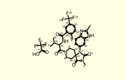 Cc1nc2ccc(N3C(=O)N(C)C(=O)C34CCN(C(=O)C(NC(=O)c3cc(C(F)(F)F)ccc3F)C(C)C)CC4)cc2[nH]1.O=C(O)C(F)(F)F